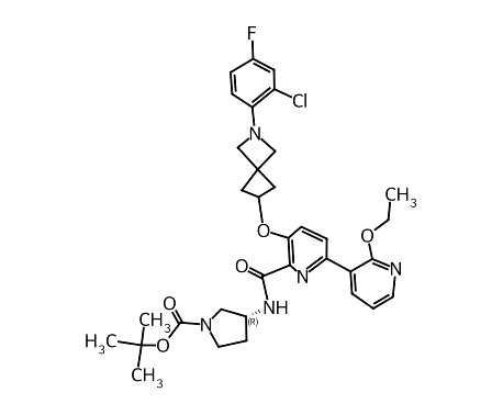 CCOc1ncccc1-c1ccc(OC2CC3(C2)CN(c2ccc(F)cc2Cl)C3)c(C(=O)N[C@@H]2CCN(C(=O)OC(C)(C)C)C2)n1